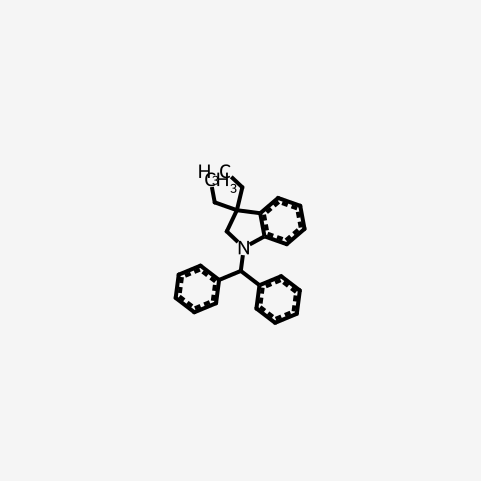 CCC1(CC)CN(C(c2ccccc2)c2ccccc2)c2ccccc21